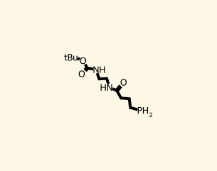 CC(C)(C)OC(=O)NCCNC(=O)CCCP